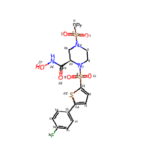 CCCS(=O)(=O)N1CCN(S(=O)(=O)c2ccc(-c3ccc(F)cc3)s2)[C@@H](C(=O)NO)C1